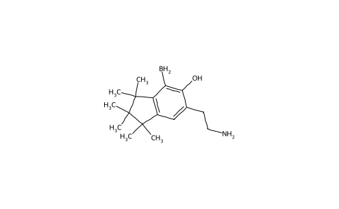 Bc1c(O)c(CCN)cc2c1C(C)(C)C(C)(C)C2(C)C